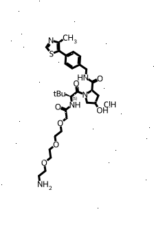 Cc1ncsc1-c1ccc(CNC(=O)C2CC(O)CN2C(=O)[C@@H](NC(=O)COCCOCCOCCN)C(C)(C)C)cc1.Cl